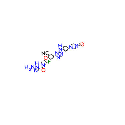 N#Cc1cc(-c2ncnc(Nc3ccc(N4CCN(C5COC5)CC4)cc3)n2)ccc1OC1CCN(C(=O)c2cnc(N)[nH]2)CC1F